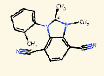 Cc1ccccc1N1c2c(C#N)ccc(C#N)c2N(C)[C@@H]1C